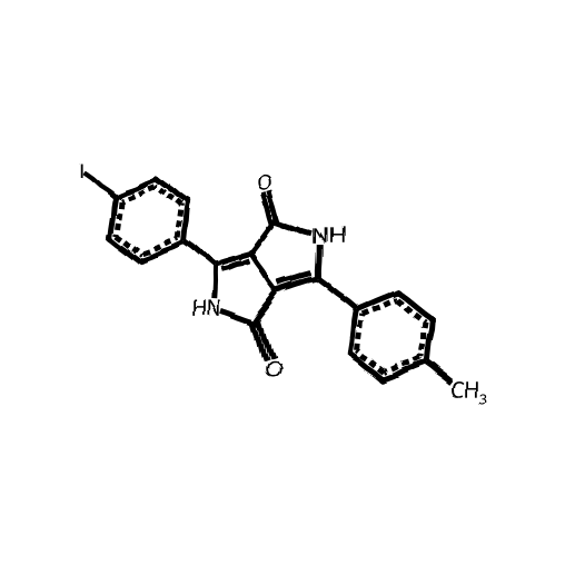 Cc1ccc(C2=C3C(=O)NC(c4ccc(I)cc4)=C3C(=O)N2)cc1